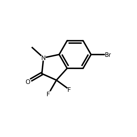 CN1C(=O)C(F)(F)c2cc(Br)ccc21